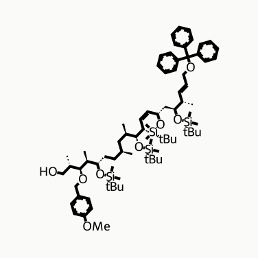 COc1ccc(CO[C@H]([C@@H](C)[C@H](CC[C@H](C)C[C@@H](C)[C@@H](O[Si](C)(C)C(C)(C)C)[C@@H](C)/C=C\[C@H](C[C@H](O[Si](C)(C)C(C)(C)C)[C@@H](C)/C=C/COC(c2ccccc2)(c2ccccc2)c2ccccc2)O[Si](C)(C)C(C)(C)C)O[Si](C)(C)C(C)(C)C)[C@@H](C)CO)cc1